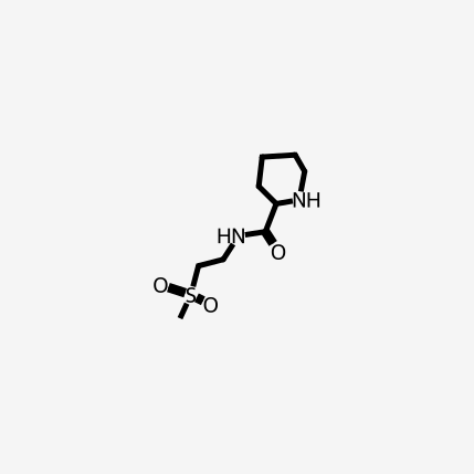 CS(=O)(=O)CCNC(=O)C1CCCCN1